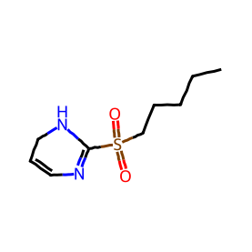 CCCCCS(=O)(=O)C1=NC=CCN1